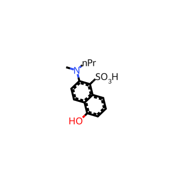 CCCN(C)c1ccc2c(O)cccc2c1S(=O)(=O)O